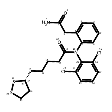 NC(=O)Cc1ccccc1N(C(=O)CCCC[C@@H]1CCSS1)c1c(Cl)cccc1Cl